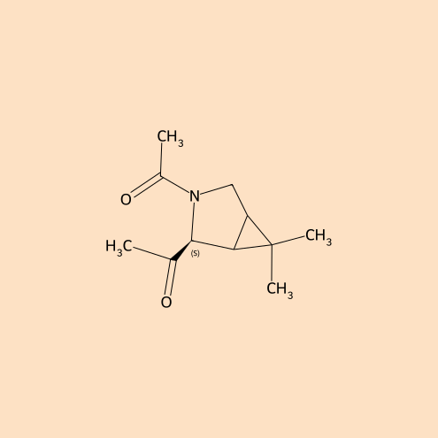 CC(=O)[C@@H]1C2C(CN1C(C)=O)C2(C)C